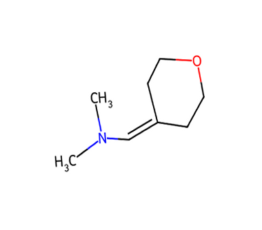 CN(C)C=C1CCOCC1